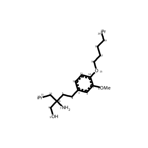 COc1cc(CCC(N)(CO)CC(C)C)ccc1OCCCCC(C)C